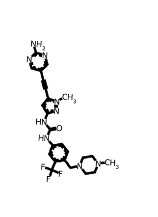 CN1CCN(Cc2ccc(NC(=O)Nc3cc(C#Cc4cnc(N)nc4)n(C)n3)cc2C(F)(F)F)CC1